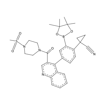 CC1(C)OB(c2cc(-c3c(C(=O)N4CCN(S(C)(=O)=O)CC4)cnc4ccccc34)ccc2C2(C#N)CC2)OC1(C)C